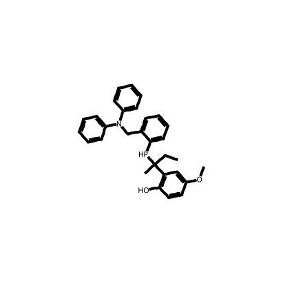 CCC(C)(Pc1ccccc1CN(c1ccccc1)c1ccccc1)c1cc(OC)ccc1O